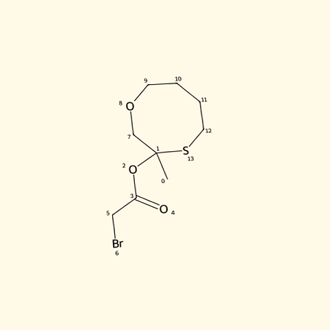 CC1(OC(=O)CBr)COCCCCS1